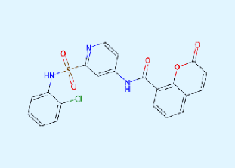 O=C(Nc1ccnc(S(=O)(=O)Nc2ccccc2Cl)c1)c1cccc2ccc(=O)oc12